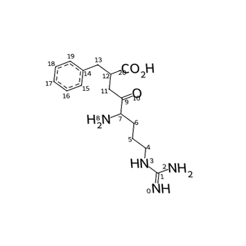 N=C(N)NCCCC(N)C(=O)CC(Cc1ccccc1)C(=O)O